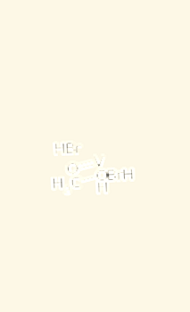 Br.Br.CO.[O]=[V]